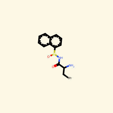 CC(C)CC(N)C(=O)N[S+]([O-])c1cccc2ccccc12